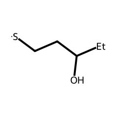 CCC(O)CC[S]